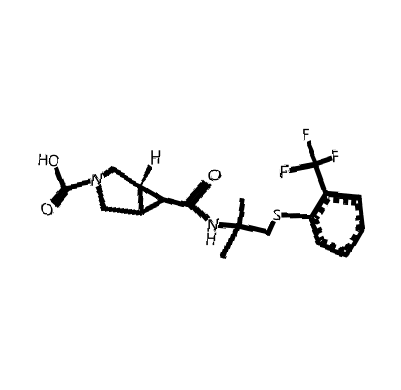 CC(C)(CSc1ccccc1C(F)(F)F)NC(=O)C1C2CN(C(=O)O)C[C@@H]21